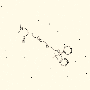 CN(C)CC(C#N)CCOCCOCCO[Si](c1ccccc1)(c1ccccc1)C(C)(C)C